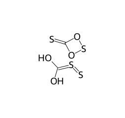 OC(O)=S=S.S=c1oso1